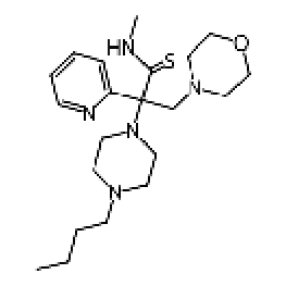 CCCCN1CCN(C(CN2CCOCC2)(C(=S)NC)c2ccccn2)CC1